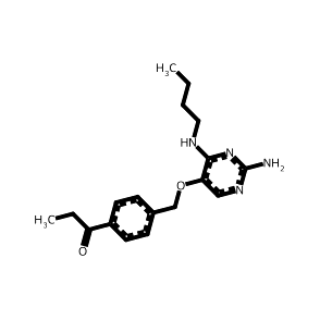 CCCCNc1nc(N)ncc1OCc1ccc(C(=O)CC)cc1